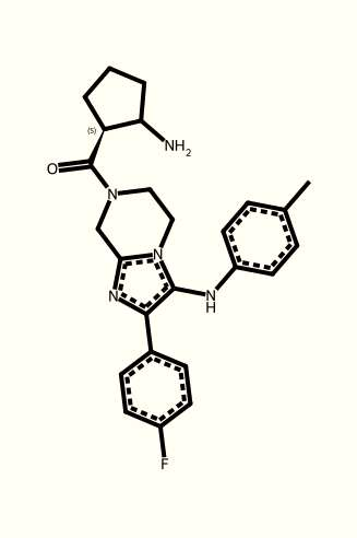 Cc1ccc(Nc2c(-c3ccc(F)cc3)nc3n2CCN(C(=O)[C@H]2CCCC2N)C3)cc1